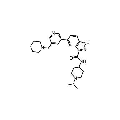 CC(C)N1CCC(NC(=O)c2n[nH]c3ccc(-c4cncc(CN5CCCCC5)c4)cc23)CC1